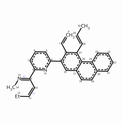 C=Cc1c(-c2cccc(C(/C=C\CC)=N/C)n2)cc2ccc3ccccc3c2c1C=CC